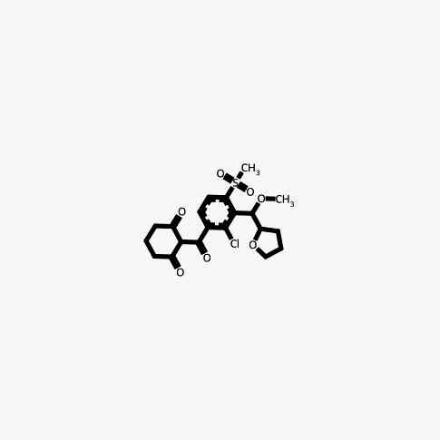 COC(c1c(S(C)(=O)=O)ccc(C(=O)C2C(=O)CCCC2=O)c1Cl)C1CCCO1